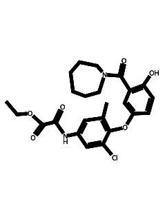 CCOC(=O)C(=O)Nc1cc(C)c(Oc2ccc(O)c(C(=O)N3CCCCCC3)c2)c(Cl)c1